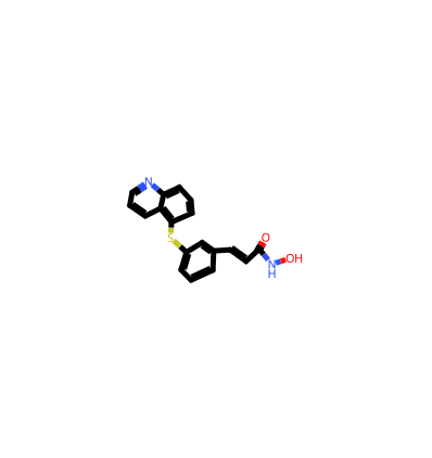 O=C(/C=C/c1cccc(Sc2cccc3ncccc23)c1)NO